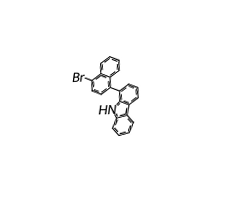 Brc1ccc(-c2cccc3c2[nH]c2ccccc23)c2ccccc12